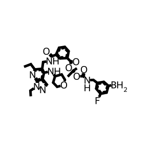 Bc1cc(F)cc(CNC(=O)OC(C)(C)OC(=O)c2cccc(C(=O)NCc3c(CC)nc4c(cnn4CC)c3NC3CCOCC3)c2)c1